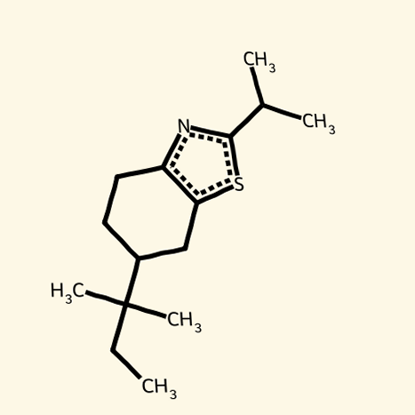 CCC(C)(C)C1CCc2nc(C(C)C)sc2C1